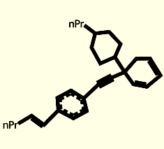 CCCC=Cc1ccc(C#CC2(C3CCC(CCC)CC3)C=CC=CC2)cc1